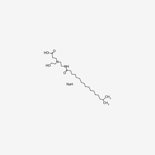 CC(C)CCCCCCCCCCCCCCC(=O)NCCN(CCO)CCC(=O)O.[NaH]